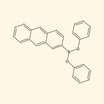 c1ccc(OB(Oc2ccccc2)c2ccc3cc4ccccc4cc3c2)cc1